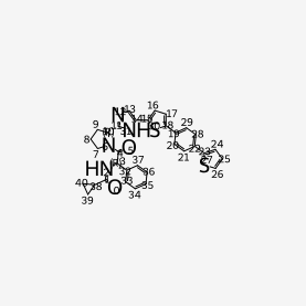 O=C(N[C@@H](C(=O)N1CCC[C@@H]1c1ncc(-c2ccc(-c3ccc(-c4cccs4)cc3)s2)[nH]1)c1ccccc1)C1CC1